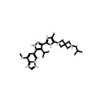 COc1cc(-c2[nH]nc(-c3nc(C)c(N4CC5(CN(CC(C)C)C5)C4)s3)c2C(C)C)cn2ncnc12